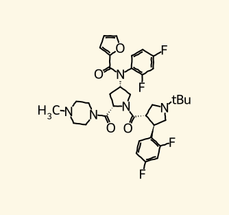 CN1CCN(C(=O)[C@@H]2C[C@H](N(C(=O)c3ccco3)c3ccc(F)cc3F)CN2C(=O)[C@@H]2CN(C(C)(C)C)C[C@H]2c2ccc(F)cc2F)CC1